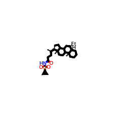 CC[C@H]1CC2C3CC[C@H]([C@H](C)CCC(=O)NS(=O)(=O)C4CC4)[C@@]3(C)CCC2[C@@]2(C)CCCC[C@@H]12